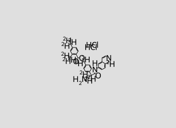 Cl.Cl.[2H]c1nccc2cc(NC(=O)C([2H])(c3ccc(C([2H])([2H])OC(=O)c4ccc(C([2H])([2H])[2H])cc4C([2H])([2H])[2H])cc3)C([2H])([2H])N)ccc12